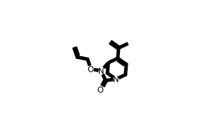 C=CCON1C(=O)N2CC=C(C(=C)C)C1C2